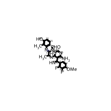 COc1ccc(C(=N)c2c(N)ncnc2NC(C)/C(=N/c2cccc(O)c2C)NC=O)c(F)c1F